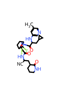 Cc1cncc(NC(CC2CC2)C(=O)N2C3CCC(C2C(=O)NC(C#N)CC2CCCNC2=O)C(F)(F)C3)c1